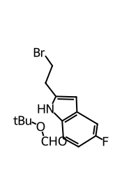 CC(C)(C)OC=O.Fc1ccc2[nH]c(CCBr)cc2c1